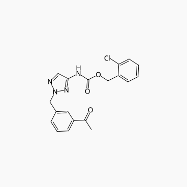 CC(=O)c1cccc(Cn2ncc(NC(=O)OCc3ccccc3Cl)n2)c1